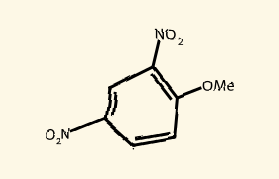 COc1c[c]c([N+](=O)[O-])cc1[N+](=O)[O-]